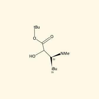 CC[C@H](C)[C@H](NC)C(O)C(=O)OC(C)(C)C